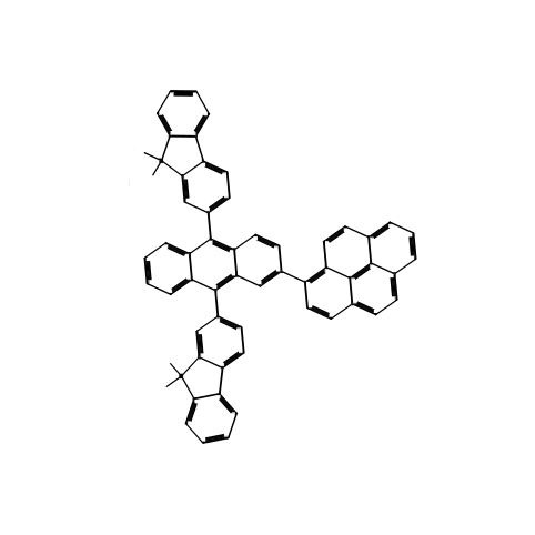 CC1(C)c2ccccc2-c2ccc(-c3c4ccccc4c(-c4ccc5c(c4)C(C)(C)c4ccccc4-5)c4cc(-c5ccc6ccc7cccc8ccc5c6c78)ccc34)cc21